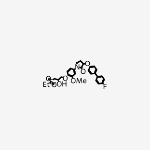 CCS(=O)(=O)C[C@@H](O)COc1ccc(N2CCC(Oc3ccc(-c4ccc(F)cc4)cc3)C2=O)cc1OC